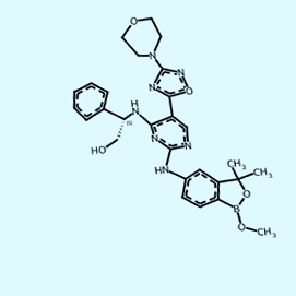 COB1OC(C)(C)c2cc(Nc3ncc(-c4nc(N5CCOCC5)no4)c(N[C@H](CO)c4ccccc4)n3)ccc21